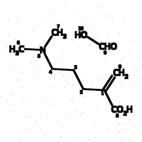 C=C(CCCN(C)C)C(=O)O.O=CO